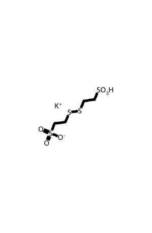 O=S(=O)([O-])CCSSCCS(=O)(=O)O.[K+]